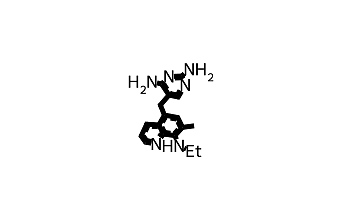 CCNc1c(C)cc(Cc2cnc(N)nc2N)c2cccnc12